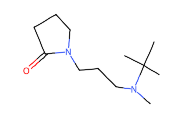 CN(CCCN1CCCC1=O)C(C)(C)C